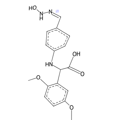 COc1ccc(OC)c(C(Nc2ccc(/C=N\NO)cc2)C(=O)O)c1